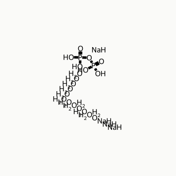 O.O.O.O.O.O.O.O.O.O.O.O.O=P(O)(O)OP(=O)(O)O.[NaH].[NaH].[NaH].[NaH]